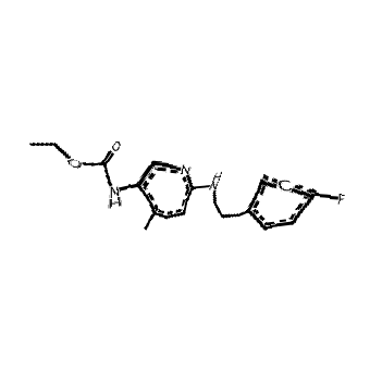 CCOC(=O)Nc1cnc(NCc2ccc(F)cc2)cc1C